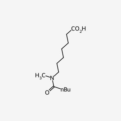 CCCCC(=O)N(C)CCCCCCC(=O)O